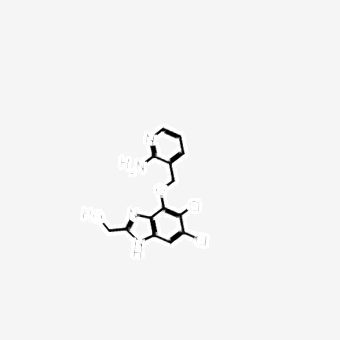 Nc1ncccc1COc1c(Cl)c(Cl)cc2[nH]c(CO)nc12